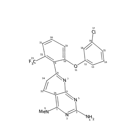 CNc1nc(N)nc2nc(-c3c(Oc4cccc(Cl)c4)cccc3C(F)(F)F)ccc12